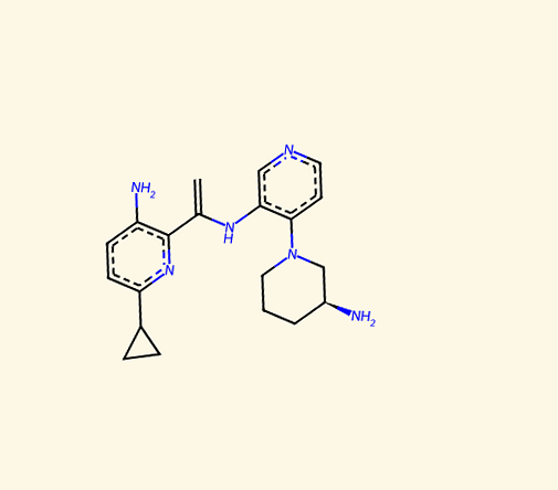 C=C(Nc1cnccc1N1CCC[C@H](N)C1)c1nc(C2CC2)ccc1N